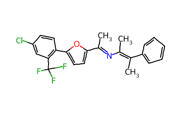 C/C(=N\C(C)=C(/C)c1ccccc1)c1ccc(-c2ccc(Cl)cc2C(F)(F)F)o1